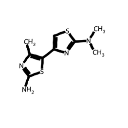 Cc1nc(N)sc1-c1csc(N(C)C)n1